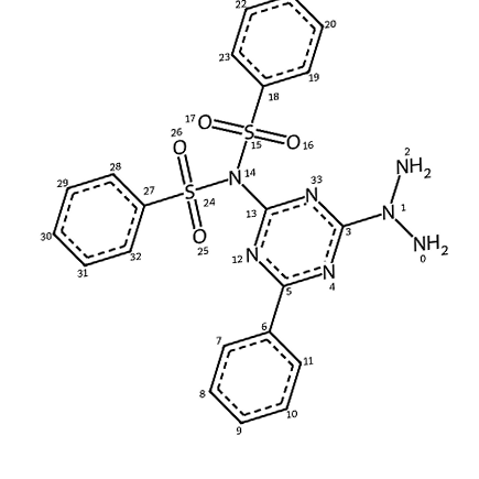 NN(N)c1nc(-c2ccccc2)nc(N(S(=O)(=O)c2ccccc2)S(=O)(=O)c2ccccc2)n1